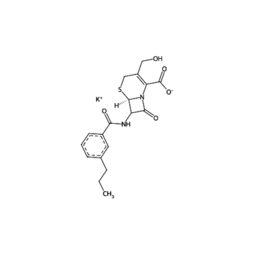 CCCc1cccc(C(=O)NC2C(=O)N3C(C(=O)[O-])=C(CO)CS[C@H]23)c1.[K+]